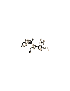 CN1CCN([C@H]2C[C@@H]3[C@@H]4C2[C@@]34n2cc(-c3cnc(N)c(OC(F)(F)F)c3)nc2CC2CC2)CC1